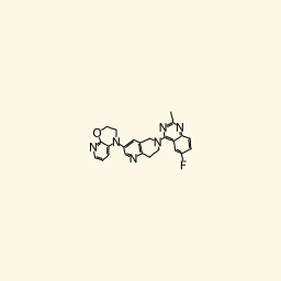 Cc1nc(N2CCc3ncc(N4CCOc5ncccc54)cc3C2)c2cc(F)ccc2n1